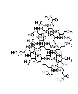 CSCC[C@H](NC(=O)[C@@H](N)CO)C(=O)N[C@@H](CCC(N)=O)C(=O)N[C@@H](C)C(=O)N[C@@H](CO)C(=O)N[C@@H](CC(C)C)C(=O)N[C@@H](CCC(=O)O)C(=O)N[C@@H](C)C(=O)N[C@@H](CCC(=O)O)C(=O)N[C@@H](C)C(=O)N[C@@H](CCCCN)C(=O)NCC(=O)N[C@@H](CCCCN)C(=O)N[C@@H](C)C(=O)N[C@@H](CCC(N)=O)C(=O)N[C@@H](C)C(=O)O